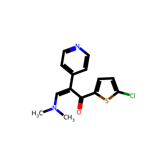 CN(C)C=C(C(=O)c1ccc(Cl)s1)c1ccncc1